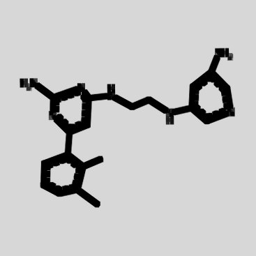 Cc1cccc(-c2cc(NCCNc3cncc(N)c3)nc(N)n2)c1C